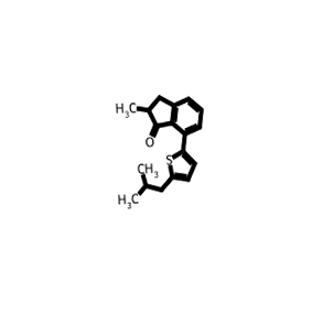 CC(C)Cc1ccc(-c2cccc3c2C(=O)C(C)C3)s1